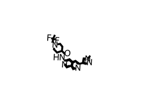 Cn1cc(-c2cc3cc(NC(=O)C4CCN(CC(C)(F)F)CC4)ncc3cn2)cn1